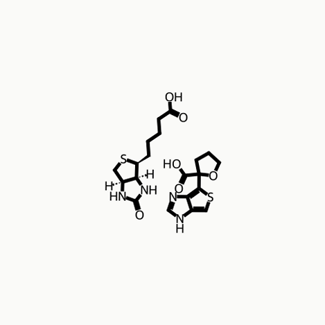 O=C(O)C1(c2scc3[nH]cnc23)CCCO1.O=C(O)CCCC[C@@H]1SC[C@@H]2NC(=O)N[C@@H]21